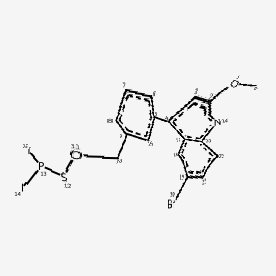 COc1cc(-c2cccc(COSP(I)I)c2)c2cc(Br)ccc2n1